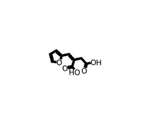 O=C(O)CC(=Cc1ccco1)C(=O)O